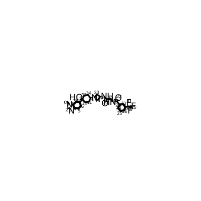 Cn1cnc2ccc([C@]3(O)CC[C@H](N4CC(NC(=O)CNC(=O)c5cccc(C(F)(F)F)c5)C4)CC3)cc21